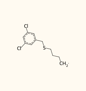 [CH2]CCCSCc1cc(Cl)cc(Cl)c1